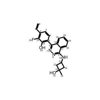 C=Cc1ccc(-c2nnc(NC3CC(C)(O)C3)c3ccccc23)c(O)c1F